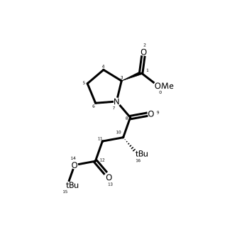 COC(=O)[C@@H]1CCCN1C(=O)[C@@H](CC(=O)OC(C)(C)C)C(C)(C)C